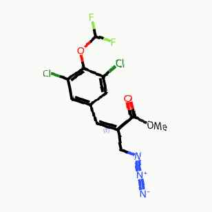 COC(=O)/C(=C\c1cc(Cl)c(OC(F)F)c(Cl)c1)CN=[N+]=[N-]